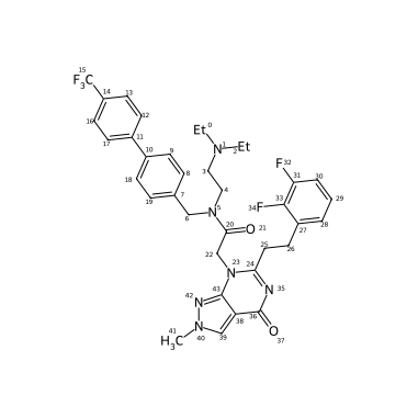 CCN(CC)CCN(Cc1ccc(-c2ccc(C(F)(F)F)cc2)cc1)C(=O)Cn1c(CCc2cccc(F)c2F)nc(=O)c2cn(C)nc21